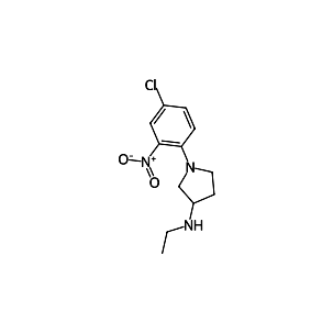 CCNC1CCN(c2ccc(Cl)cc2[N+](=O)[O-])C1